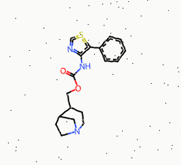 O=C(Nc1ncsc1-c1ccccc1)OCC1CCN2CCC1C2